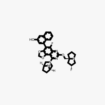 Oc1cc(-c2c3c(c4c(N5C[C@H]6CC[C@@H](C5)N6)nc(OC[C@@]56CCCN5C[C@H](F)C6)nc4c2F)OCO3)c2ccccc2c1